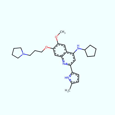 COc1cc2c(NC3CCCC3)cc(-c3ccc(C)[nH]3)nc2cc1OCCCN1CCCC1